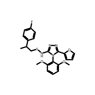 COc1cccc(OC)c1-n1c(NSCC(C)c2ccc(F)cc2)nnc1-c1ccco1